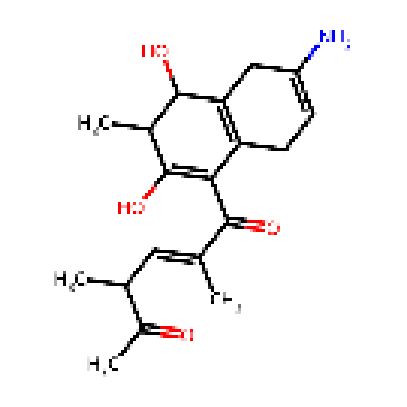 CC(=O)C(C)C=C(C)C(=O)C1=C(O)C(C)C(O)C2=C1CC=C(N)C2